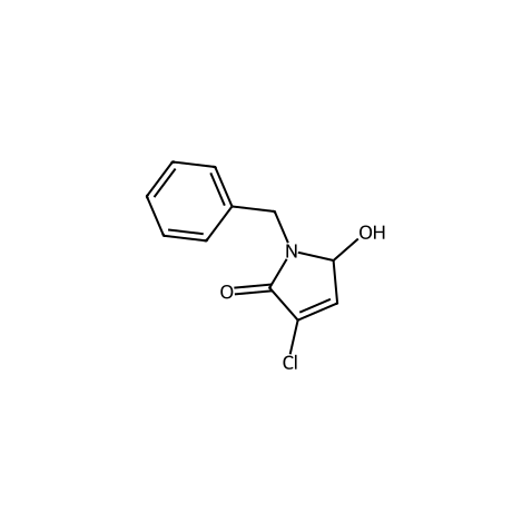 O=C1C(Cl)=CC(O)N1Cc1ccccc1